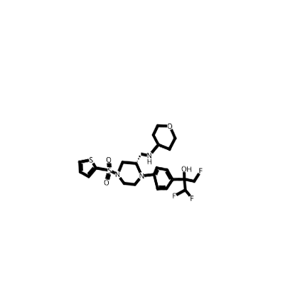 O=S(=O)(c1cccs1)N1CCN(c2ccc(C(O)(CF)C(F)F)cc2)[C@@H](CNC2CCOCC2)C1